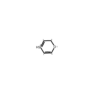 C1=C[SiH]=CCO1